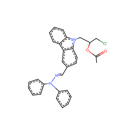 CC(=O)OC(CCl)Cn1c2ccccc2c2cc(C=NN(c3ccccc3)c3ccccc3)ccc21